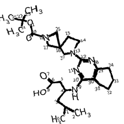 CC(C)CC(CC(=O)O)Nc1nc(N2CCC3(CN(C(=O)OC(C)(C)C)C3)C2)nc2c1CCCC2